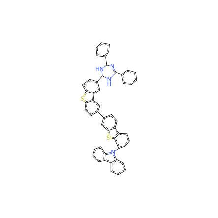 c1ccc(C2=NC(c3ccccc3)NC(c3ccc4sc5ccc(-c6ccc7c(c6)sc6c(-n8c9ccccc9c9ccccc98)cccc67)cc5c4c3)N2)cc1